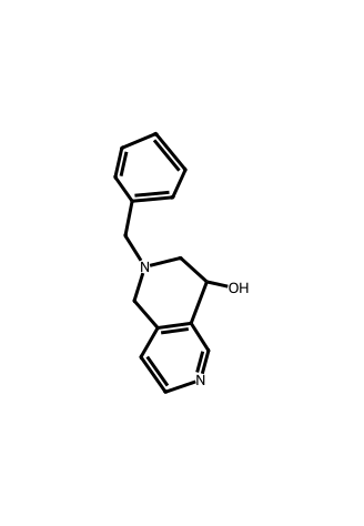 OC1CN(Cc2ccccc2)Cc2ccncc21